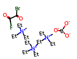 CC[N+](C)(CC)CC.CC[N+](C)(CC)CC.CC[N+](C)(CC)CC.O=C(F)C(=O)Br.[O-]B([O-])[O-]